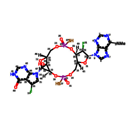 CNc1ncnc2c1ncn2[C@@H]1O[C@@H]2COP(=O)(S)O[C@@H]3[C@H](O)[C@@H](COP(=O)(S)O[C@H]2[C@H]1F)O[C@H]3n1cc(F)c2c(=O)[nH]cnc21